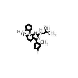 Cc1cc(F)ccc1-c1nc(NCC(C)O)nc2c1ccc(=O)n2-c1ccccc1C